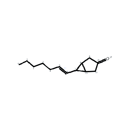 CCCCC/C=C/C1C2CC(=O)CC12